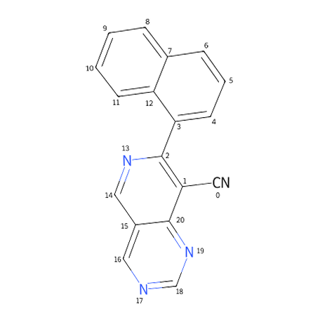 N#Cc1c(-c2cccc3ccccc23)ncc2cncnc12